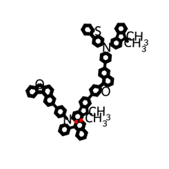 CC1(C)c2ccccc2-c2cc(N(c3ccc(-c4ccc5c(ccc6oc7cc(-c8ccc9c(c8)C(C)(C)c8ccc(N(c%10ccc(-c%11ccc%12c(ccc%13oc%14ccccc%14c%13%12)c%11)cc%10)c%10ccccc%10-c%10cccc%11ccccc%10%11)cc8-9)ccc7c65)c4)cc3)c3ccc4c(c3)sc3ccccc34)ccc21